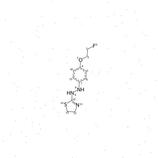 FCCOc1ccc(NNC2=NCCS2)cc1